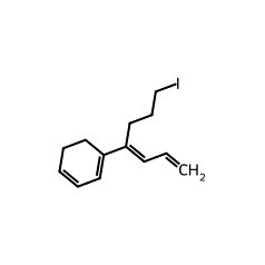 C=C/C=C(\CCCI)C1=CC=CCC1